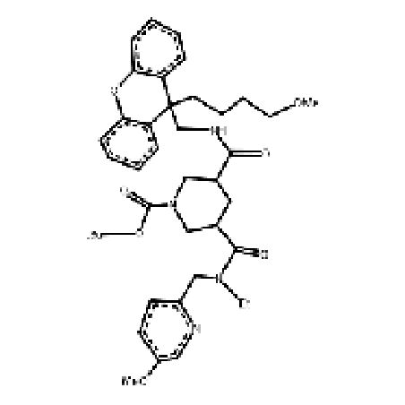 CCN(Cc1ccc(OC)cn1)C(=O)C1CC(C(=O)NCC2(CCCCOC)c3ccccc3Oc3ccccc32)CN(C(=O)OC(C)(C)C)C1